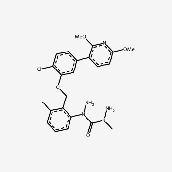 COc1ccc(-c2ccc(Cl)c(OCc3c(C)cccc3N(N)C(=O)N(C)N)c2)c(OC)n1